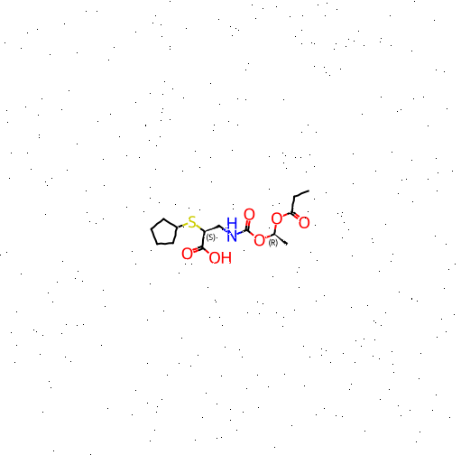 CCC(=O)O[C@@H](C)OC(=O)NC[C@H](SC1CCCC1)C(=O)O